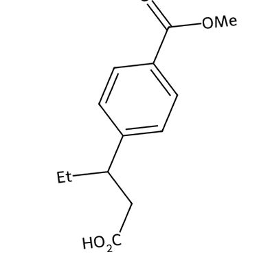 CCC(CC(=O)O)c1ccc(C(=O)OC)cc1